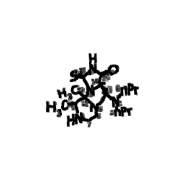 CCCN(CCC)C(=S)N1CCNC(C)C1(C)N1CC(=O)NC1=S